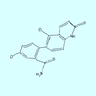 NC(=O)c1cc(Cl)ccc1-c1ccc2[nH]c(=O)ccc2c1Cl